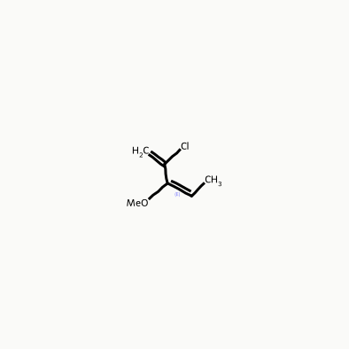 C=C(Cl)/C(=C\C)OC